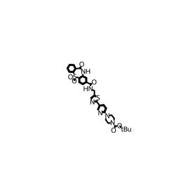 CC(C)(C)OC(=O)N1CCN(c2ccc(-c3ncc(CNC(=O)c4ccc5c(c4)NC(=O)c4ccccc4S5(=O)=O)s3)cn2)CC1